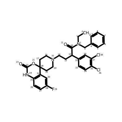 CCN(Cc1ccccc1)C(=O)C(CCN1CCC2(CC1)OC(=O)Nc1ccc(F)cc12)c1ccc(Cl)c(Cl)c1